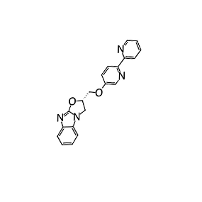 c1ccc(-c2ccc(OC[C@@H]3Cn4c(nc5ccccc54)O3)cn2)nc1